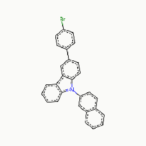 Brc1ccc(-c2ccc3c(c2)c2ccccc2n3-c2ccc3ccccc3c2)cc1